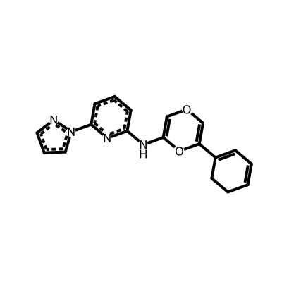 C1=CCCC(C2=COC=C(Nc3cccc(-n4cccn4)n3)O2)=C1